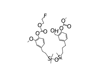 COC(=O)Oc1ccc(CCC[Si](C)(C)O[Si](C)(C)CCCc2ccc(OC(=O)OCCF)c(OC)c2)cc1CO